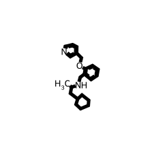 CC(CC1CCCCC1)NCc1ccccc1OCc1cccnc1